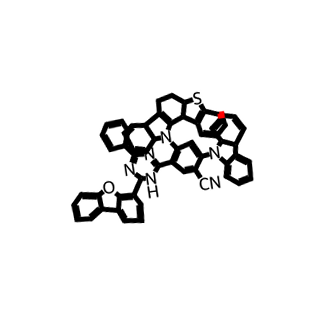 N#Cc1cc(C2=NC(C3C=CC=CC3)=NC(c3cccc4c3oc3ccccc34)N2)c(N2C3=C(CCC4SC5=C(C=CCC5)C34)C3C=CC=CC32)cc1N1c2ccccc2C2C=CC=CC21